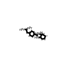 CCCC(CCC)CC1CCC(C2NC3CCCC[C@@H]3N2)CC1